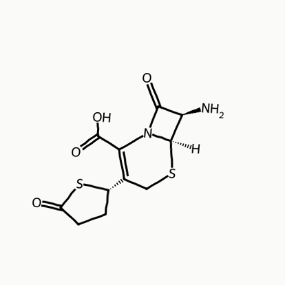 N[C@@H]1C(=O)N2C(C(=O)O)=C([C@@H]3CCC(=O)S3)CS[C@H]12